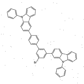 Brc1cc(-c2ccc(-c3ccc4c(c3)c3ccccc3n4-c3ccccc3)cc2)cc(-c2ccc3c4ccccc4n(-c4ccccc4)c3c2)c1